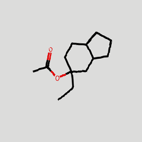 CCC1(OC(C)=O)CCC2CCCC2C1